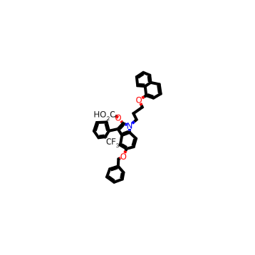 O=C(O)Oc1c(-c2ccccc2C(F)(F)F)c2cc(OCc3ccccc3)ccc2n1CCCOc1cccc2ccccc12